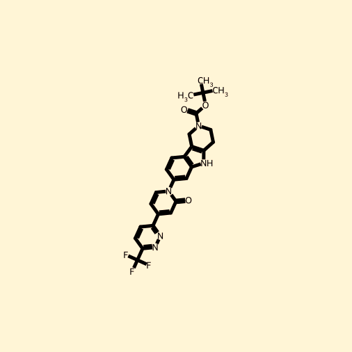 CC(C)(C)OC(=O)N1CCc2[nH]c3cc(-n4ccc(-c5ccc(C(F)(F)F)nn5)cc4=O)ccc3c2C1